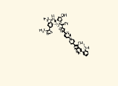 Cc1ncsc1-c1ccc([C@H](C)NC(=O)[C@@H]2C[C@@H](O)CN2C(=O)C(c2cc(-c3ccc(N4CCC(c5sc6nnc(-c7ccccc7O)cc6c5C)CC4)nn3)no2)C(C)C)cc1